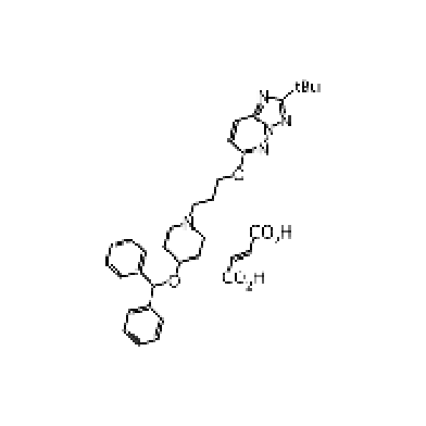 CC(C)(C)c1nc2ccc(OCCCN3CCC(OC(c4ccccc4)c4ccccc4)CC3)nn2n1.O=C(O)C=CC(=O)O